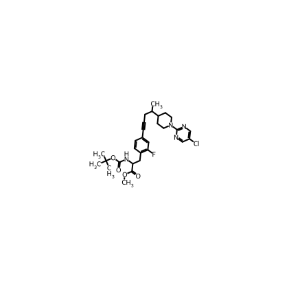 COC(=O)C(Cc1ccc(C#CCC(C)C2CCN(c3ncc(Cl)cn3)CC2)cc1F)NC(=O)OC(C)(C)C